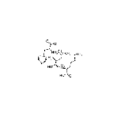 CC(C)C[C@H](N)C(=O)O.NCCCC[C@H](N)C(=O)O.N[C@@H](Cc1ccccc1)C(=O)O